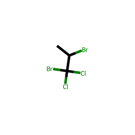 CC(Br)C(Cl)(Cl)Br